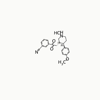 COc1ccc([C@@H]2CCNC[C@H]2CS(=O)(=O)c2cccc(C#N)c2)cc1.Cl